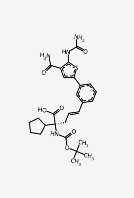 CC(C)(C)OC(=O)N[C@](CC=Cc1cccc(-c2cc(C(N)=O)c(NC(N)=O)s2)c1)(C(=O)O)C1CCCC1